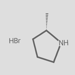 Br.C[C@H]1CCCN1